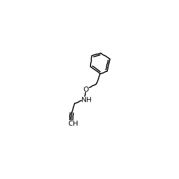 C#CCNOCc1ccccc1